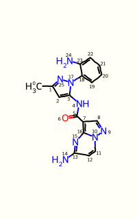 Cc1cc(NC(=O)c2cnn3ccc(N)nc23)n(-c2ccccc2N)n1